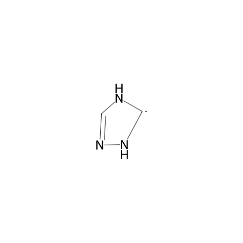 [CH]1NC=NN1